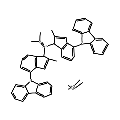 CC1=Cc2c(cccc2-n2c3ccccc3c3ccccc32)[CH]1[Zr+2]([CH]1C(C)=Cc2c1cccc2-n1c2ccccc2c2ccccc21)=[Si](C)C.C[N-]C.C[N-]C